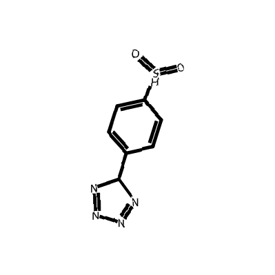 O=[SH](=O)c1ccc(C2N=NN=N2)cc1